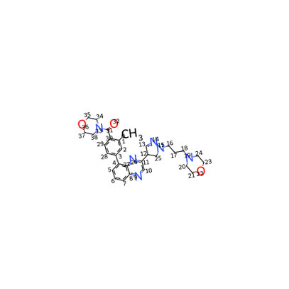 Cc1cc(-c2cccc3ncc(C4C=NN(CCCN5CCOCC5)C4)nc23)ccc1C(=O)N1CCOCC1